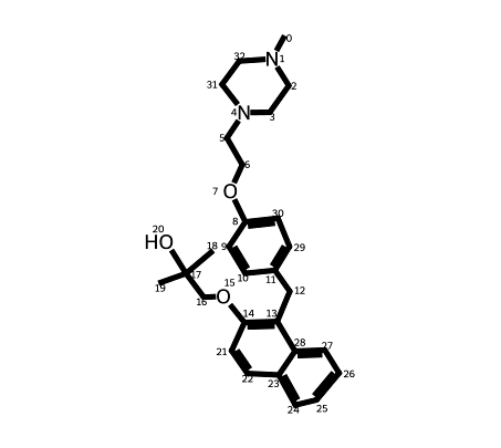 CN1CCN(CCOc2ccc(Cc3c(OCC(C)(C)O)ccc4ccccc34)cc2)CC1